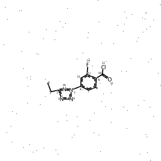 CCc1nnn(-c2ccc(C(=O)Cl)c(F)c2)n1